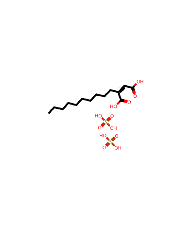 CCCCCCCCCC/C(=C/C(=O)O)C(=O)O.O=S(=O)(O)O.O=S(=O)(O)O